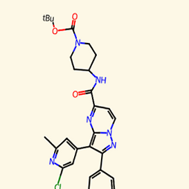 Cc1cc(-c2c(-c3cccc(C#N)c3)nn3ccc(C(=O)NC4CCN(C(=O)OC(C)(C)C)CC4)nc23)cc(Cl)n1